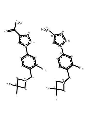 COC(=O)c1cn(-c2ccc(CN3CC(F)(F)C3)c(F)c2)nn1.O=C(O)c1cn(-c2ccc(CN3CC(F)(F)C3)c(F)c2)nn1